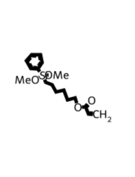 C=CC(=O)OCCCCCC[Si](OC)(OC)c1ccccc1